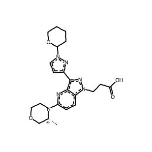 C[C@@H]1COCCN1c1ccc2c(n1)c(-c1ccn(C3CCCCO3)n1)nn2CCC(=O)O